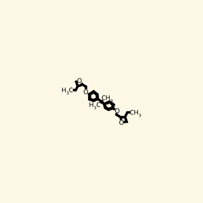 CCC1COC1COc1ccc(C(C)(C)c2ccc(OCC3OCC3CC)cc2)cc1